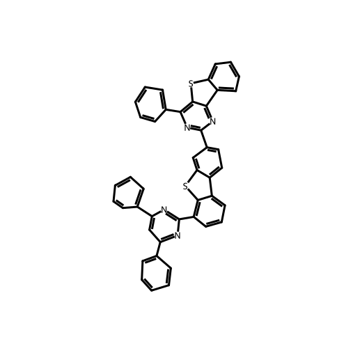 c1ccc(-c2cc(-c3ccccc3)nc(-c3cccc4c3sc3cc(-c5nc(-c6ccccc6)c6sc7ccccc7c6n5)ccc34)n2)cc1